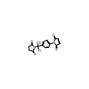 CCC(C(=O)O)(c1ccc(N2C(=O)C=CC2=O)cc1)N1C(=O)CCC1=O